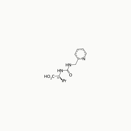 CC(C)[C@H](NC(=O)NCc1ccccn1)C(=O)O